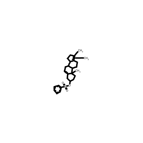 CC1C2CCC3C4CC=C5CC(OS(=O)(=O)c6ccccc6)CCC5(C)C4CCC32CN1C